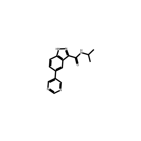 CC(C)NC(=O)c1n[nH]c2ccc(-c3cncnc3)cc12